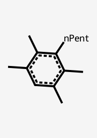 CCCCCc1c(C)c(C)cc(C)c1C